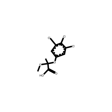 COC(C)(Oc1cc(Cl)c(Cl)c(Cl)c1)C(=O)O